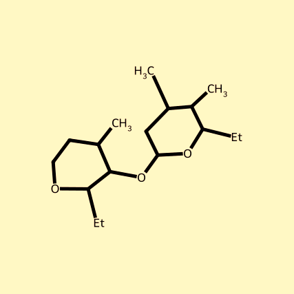 CCC1OC(OC2C(C)CCOC2CC)CC(C)C1C